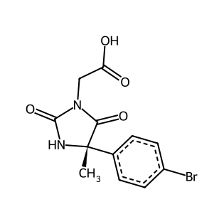 C[C@@]1(c2ccc(Br)cc2)NC(=O)N(CC(=O)O)C1=O